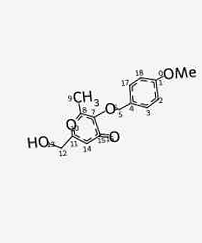 COc1ccc(COc2c(C)oc(CO)cc2=O)cc1